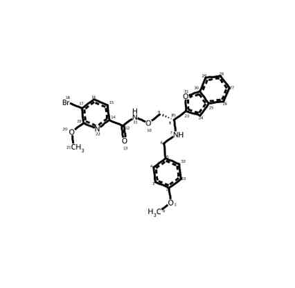 COc1ccc(CN[C@H](CONC(=O)c2ccc(Br)c(OC)n2)c2cc3ccccc3o2)cc1